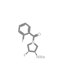 CN[C@@H]1CN(C(=O)c2ccccc2F)C[C@@H]1F